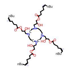 CCCC/C=C\CCCC(=O)OCC(O)CN1CCCN(CC(O)COC(=O)CCC/C=C\CCCC)CCN(CC(O)COC(=O)CCC/C=C\CCCC)CCCN(CC(O)COC(=O)CCC/C=C\CCCC)CC1